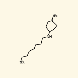 CC(C)(C)CCCCCCCNC1CCN(C(C)(C)C)CC1